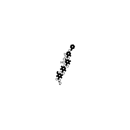 CCc1c(C)c(C(=O)OCOC)c(C)c(C)c1OC(=O)c1c(C)cc(OC(=O)c2c(C)c(C)c(OC(=O)c3c(C)cc(OCc4ccccc4)cc3OC)c(Cl)c2O)c(C)c1C